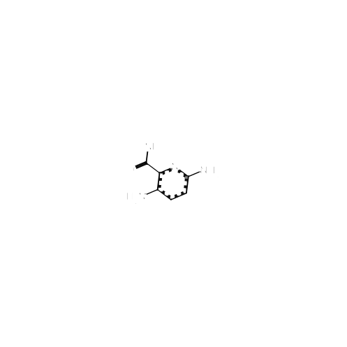 NC(=O)c1nc(N)ccc1N